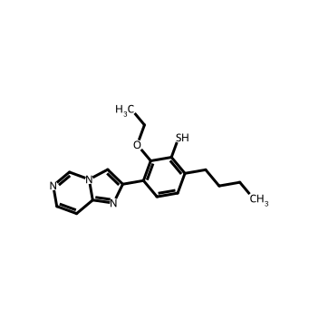 CCCCc1ccc(-c2cn3cnccc3n2)c(OCC)c1S